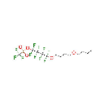 CCCCOCCCCOC(F)(F)C(F)(F)C(F)(F)C(F)(F)OS(=O)(=O)C(F)(F)F